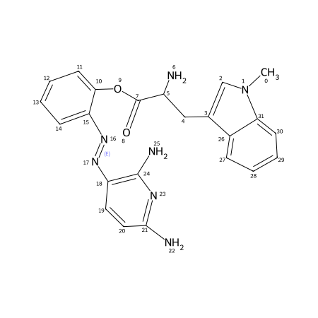 Cn1cc(CC(N)C(=O)Oc2ccccc2/N=N/c2ccc(N)nc2N)c2ccccc21